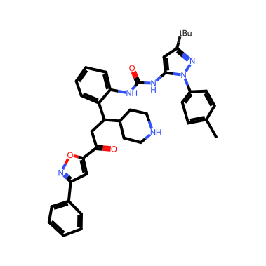 Cc1ccc(-n2nc(C(C)(C)C)cc2NC(=O)Nc2ccccc2C(CC(=O)c2cc(-c3ccccc3)no2)C2CCNCC2)cc1